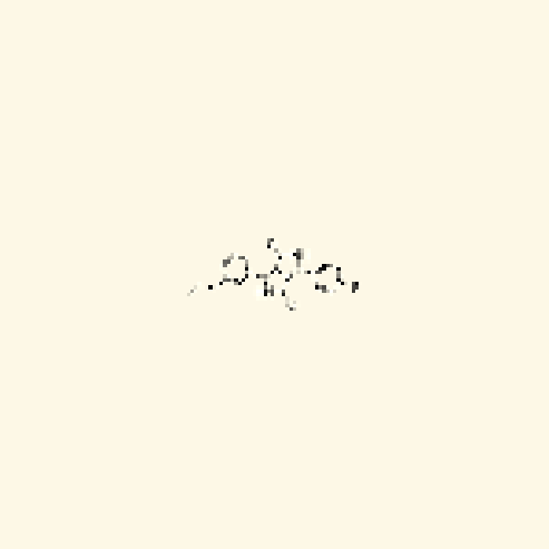 CCCc1cccc(C2=C3C(=O)NC(c4ccc(F)cc4)=C3C(=O)N2)c1